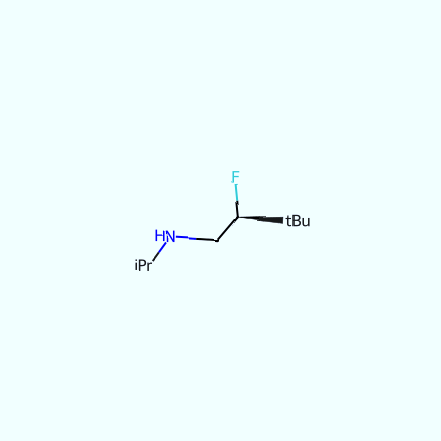 CC(C)NC[C@@H](F)C(C)(C)C